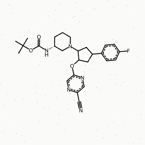 CC(C)(C)OC(=O)N[C@@H]1CCCN(C2CC(c3ccc(F)cc3)CC2Oc2cnc(C#N)cn2)C1